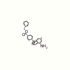 Cc1cc(N)c2cnn(-c3ccc(C(=O)OCc4ccccc4)cc3)c2c1